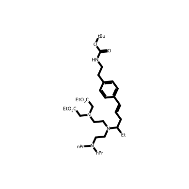 CCCN(CCC)CCN(CCN(CC(=O)OCC)CC(=O)OCC)C(CC)C/C=C/c1ccc(CCNC(=O)OC(C)(C)C)cc1